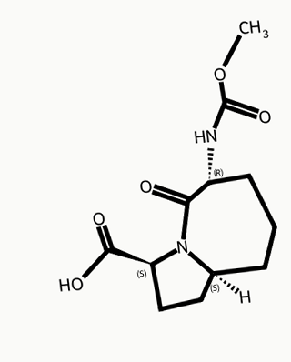 COC(=O)N[C@@H]1CCC[C@H]2CC[C@@H](C(=O)O)N2C1=O